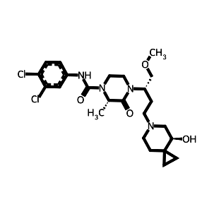 COC[C@H](CCN1CCC2(CC2)[C@H](O)C1)N1CCN(C(=O)Nc2ccc(Cl)c(Cl)c2)[C@@H](C)C1=O